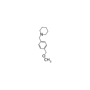 COCc1ccc(CN2CCCCC2)cc1